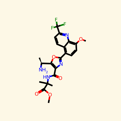 COC(=O)C(C)(C)NC(=O)c1nc(-c2ccc(OC)c3nc(C(F)(F)F)ccc23)oc1[C@H](C)N